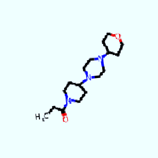 CCC(=O)N1CCC(N2CCN(C3CCOCC3)CC2)CC1